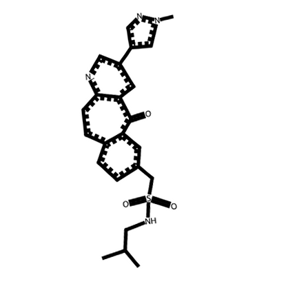 CC(C)CNS(=O)(=O)Cc1ccc2ccc3ncc(-c4cnn(C)c4)cc3c(=O)c2c1